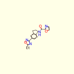 CCc1nc(-c2ccc3c(c2)CCC3NC(=O)c2ncco2)no1